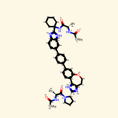 COC(=O)N[C@H](C(=O)NC1(c2nc3ccc(-c4ccc(-c5ccc6c(c5)OCCc5nc([C@@H]7CCCN7C(=O)[C@@H](NC(=O)OC)C(C)C)[nH]c5-6)cc4)cc3[nH]2)CCCCC1)C(C)C